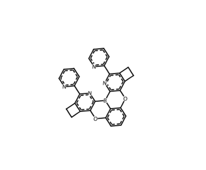 c1ccc(-c2nc3c(c4c2CC4)Oc2cccc4c2B3c2nc(-c3ccccn3)c3c(c2O4)CC3)nc1